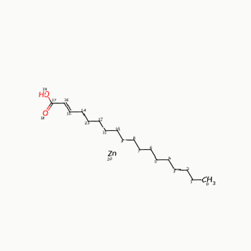 CCCCCCCCCCCCCCCC=CC(=O)O.[Zn]